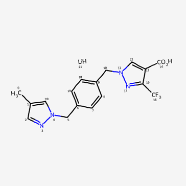 Cc1cnn(Cc2ccc(Cn3cc(C(=O)O)c(C(F)(F)F)n3)cc2)c1.[LiH]